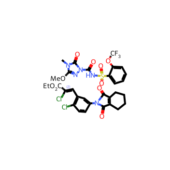 CCOC(=O)/C(Cl)=C/c1cc(N2C(=O)C3=C(CCCC3)C2=O)ccc1Cl.COc1nn(C(=O)NS(=O)(=O)c2ccccc2OC(F)(F)F)c(=O)n1C